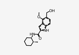 COc1c(CO)ccc2[nH]c(C(=O)N[C@@H]3CCCC[C@@H]3C)cc12